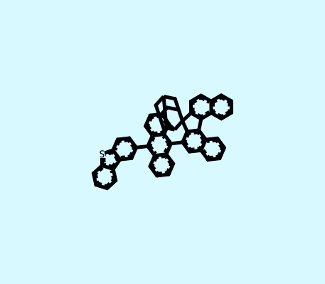 c1ccc2c3c(ccc2c1)C1(c2c(-c4c5ccccc5c(-c5ccc6sc7ccccc7c6c5)c5ccccc45)cc4ccccc4c2-3)C2CC3CC(C2)CC1C3